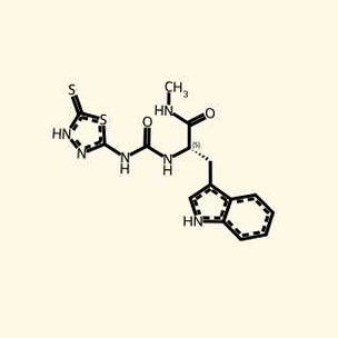 CNC(=O)[C@H](Cc1c[nH]c2ccccc12)NC(=O)Nc1n[nH]c(=S)s1